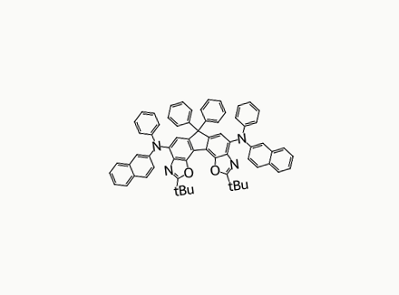 CC(C)(C)c1nc2c(N(c3ccccc3)c3ccc4ccccc4c3)cc3c(c2o1)-c1c(cc(N(c2ccccc2)c2ccc4ccccc4c2)c2nc(C(C)(C)C)oc12)C3(c1ccccc1)c1ccccc1